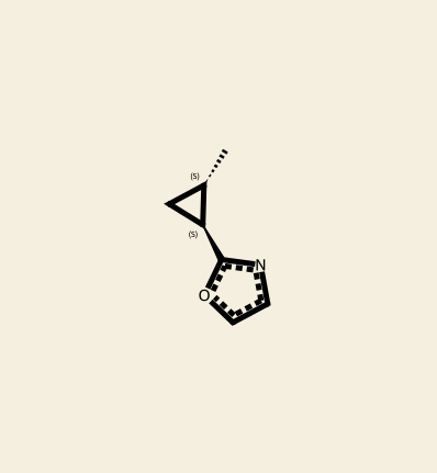 C[C@H]1C[C@@H]1c1ncco1